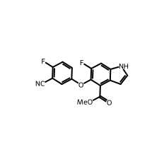 COC(=O)c1c(Oc2ccc(F)c(C#N)c2)c(F)cc2[nH]ccc12